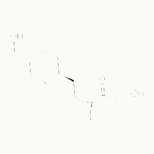 CN(CC[C@H]1CC[C@H](CO)CC1)C(=O)OC(C)(C)C